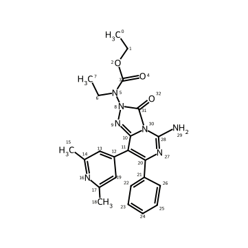 CCOC(=O)N(CC)n1nc2c(-c3cc(C)nc(C)c3)c(-c3ccccc3)nc(N)n2c1=O